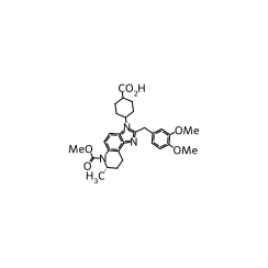 COC(=O)N1c2ccc3c(nc(Cc4ccc(OC)c(OC)c4)n3C3CCC(C(=O)O)CC3)c2CC[C@@H]1C